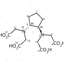 O=C(O)CN(CC(=O)O)[C@@H]1CCC[C@H]1N(CC(=O)O)CC(=O)O